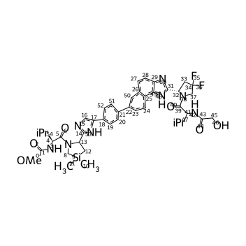 COC(=O)N[C@H](C(=O)N1C[Si](C)(C)CC1c1ncc(-c2ccc(-c3ccc4c(ccc5nc([C@@H]6CC(F)(F)CN6C(=O)C(NC(=O)CO)C(C)C)[nH]c54)c3)cc2)[nH]1)C(C)C